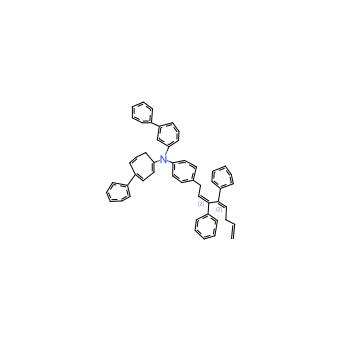 C=CC/C=C(\C(=C/Cc1ccc(N(C2=CC=C(c3ccccc3)C=CC2)c2cccc(-c3ccccc3)c2)cc1)c1ccccc1)c1ccccc1